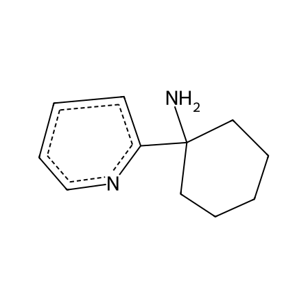 NC1(c2ccccn2)CCCCC1